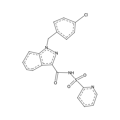 O=C(NS(=O)(=O)c1ccccn1)c1nn(Cc2ccc(Cl)cc2)c2ccccc12